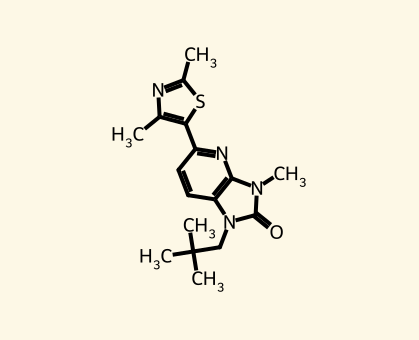 Cc1nc(C)c(-c2ccc3c(n2)n(C)c(=O)n3CC(C)(C)C)s1